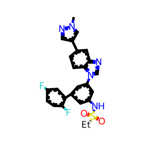 CCS(=O)(=O)Nc1cc(-c2cc(F)ccc2F)cc(-n2cnc3cc(-c4cnn(C)c4)ccc32)c1